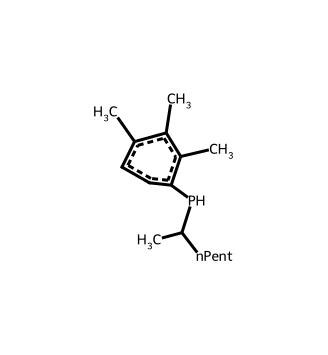 CCCCCC(C)Pc1ccc(C)c(C)c1C